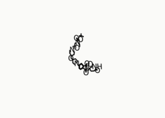 CC(C)(C)OC(=O)N1CCO[C@@H](CN2CCC(OC3CCN(c4ccc5c(c4)C(=O)N(C4CCC(=O)NC4=O)C5=O)CC3)CC2)C1